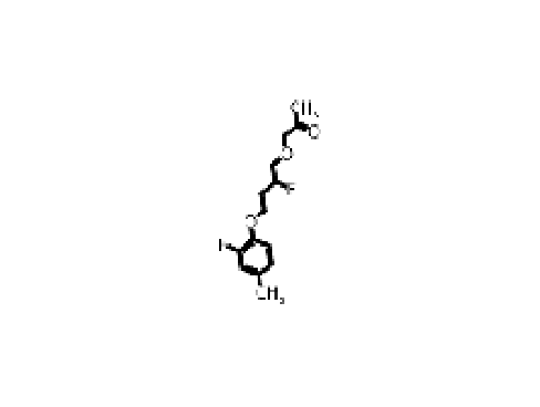 CC(=O)COCC(F)CCOc1ccc(C)cc1F